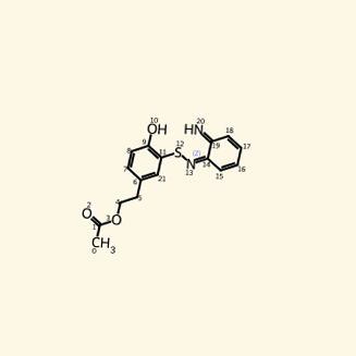 CC(=O)OCCc1ccc(O)c(S/N=C2/C=CC=CC2=N)c1